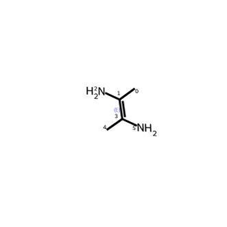 C/C(N)=C(/C)N